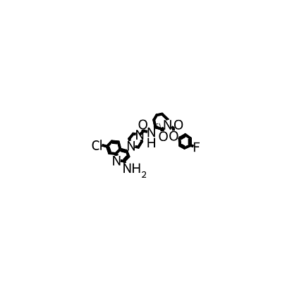 Nc1cc(N2CCN(C(=O)N[C@H]3CCCCN(C(=O)Oc4ccc(F)cc4)C3=O)CC2)c2ccc(Cl)cc2n1